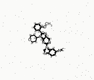 [C-]#[N+]c1ccc2ncn(-c3ncc4nc(-c5ccccc5OC)n(C5CCOCC5)c4n3)c2c1